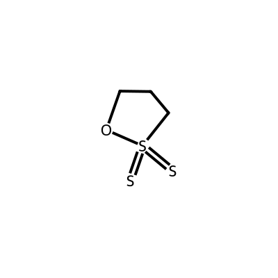 S=S1(=S)CCCO1